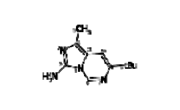 Cc1nc(N)n2cnc(C(C)(C)C)cc12